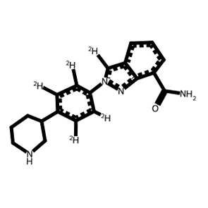 [2H]c1c([2H])c(-n2nc3c(C(N)=O)cccc3c2[2H])c([2H])c([2H])c1C1CCCNC1